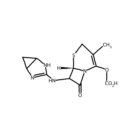 CC1=C(OC(=O)O)N2C(=O)C(NC3=NC4CC4N3)[C@@H]2SC1